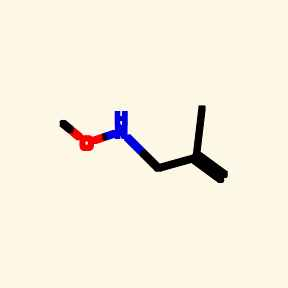 C=C(C)CNOC